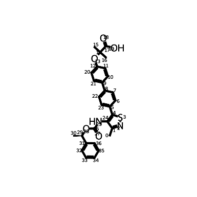 Cc1nsc(-c2ccc(-c3ccc(OC(C)(C)C(=O)O)cc3)cc2)c1NC(=O)O[C@H](C)c1ccccc1